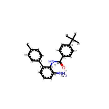 Cc1ccc(-c2cccc(N)c2NC(=O)c2ccc(C(C)(C)C)cc2)cc1